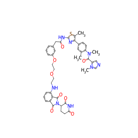 Cc1cc(-c2nc(NC(=O)Cc3cccc(OCCOCCNc4cccc5c4C(=O)N(C4CCC(=O)NC4=O)C5=O)c3)sc2C)ccc1N(C)C(=O)c1cncn1C